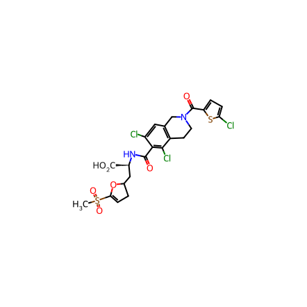 CS(=O)(=O)C1=CCC(C[C@H](NC(=O)c2c(Cl)cc3c(c2Cl)CCN(C(=O)c2ccc(Cl)s2)C3)C(=O)O)O1